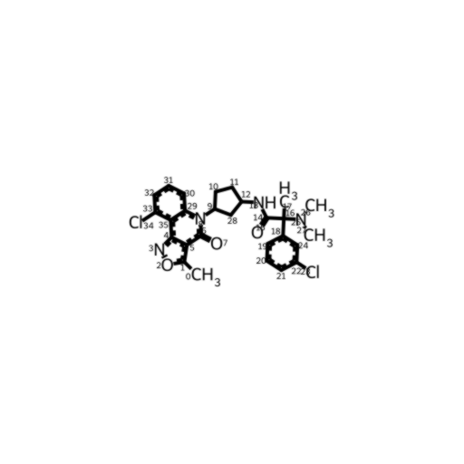 Cc1onc2c1c(=O)n(C1CCC(NC(=O)C(C)(c3cccc(Cl)c3)N(C)C)C1)c1cccc(Cl)c21